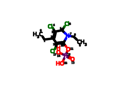 CCC1=C(Cl)C(Cl)N(CC)C(OP(=O)(O)O)=C1Cl